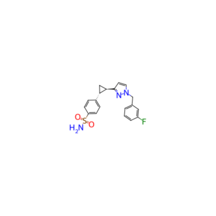 NS(=O)(=O)c1ccc([C@@H]2C[C@H]2c2ccn(Cc3cccc(F)c3)n2)cc1